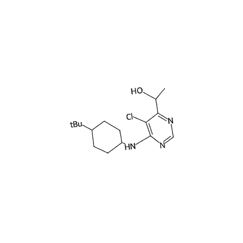 CC(O)c1ncnc(NC2CCC(C(C)(C)C)CC2)c1Cl